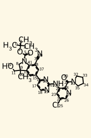 CC(C)(C)OC(=O)N1CC(C)(CO)c2cc(-c3ccnc(Nc4cc(Cl)cnc4C(=O)N4CCCC4)n3)cc(C#N)c21